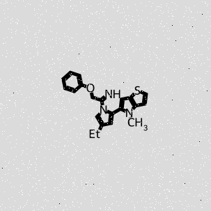 CCc1cc(-c2cc3sccc3n2C)n(C(=N)COc2ccccc2)c1